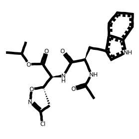 CC(=O)N[C@H](Cc1c[nH]c2ccccc12)C(=O)N[C@H](C(=O)OC(C)C)[C@@H]1CC(Cl)=NO1